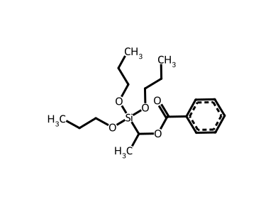 CCCO[Si](OCCC)(OCCC)C(C)OC(=O)c1ccccc1